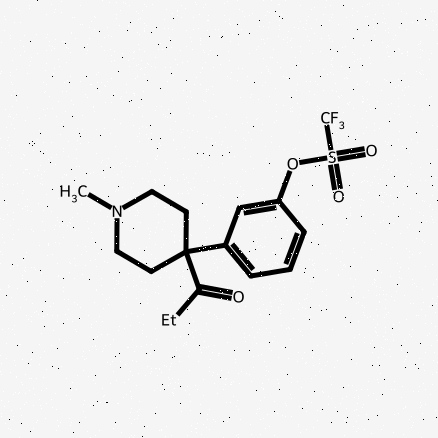 CCC(=O)C1(c2cccc(OS(=O)(=O)C(F)(F)F)c2)CCN(C)CC1